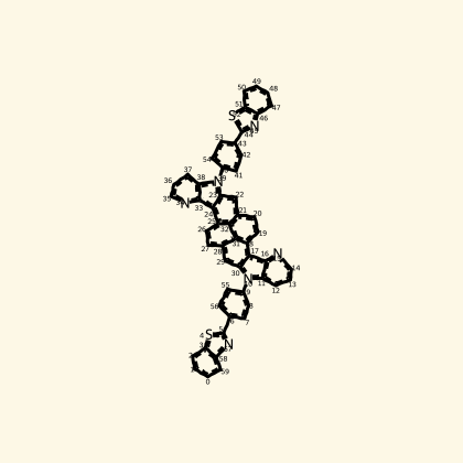 c1ccc2sc(-c3ccc(-n4c5cccnc5c5c6ccc7cc8c(c9ccc(cc54)c6c79)c4ncccc4n8-c4ccc(-c5nc6ccccc6s5)cc4)cc3)nc2c1